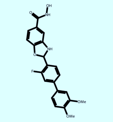 COc1ccc(-c2ccc(C3Nc4cc(C(=O)NO)ccc4O3)c(F)c2)cc1OC